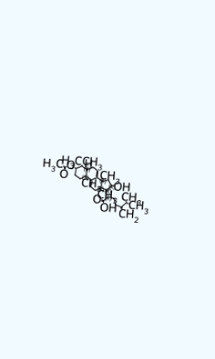 C=C(CC[C@@H](C(=O)O)[C@H]1[C@H](O)C[C@@]2(C)C3=CC[C@H]4C(C)(C)C(OC(C)=O)CC[C@]4(C)C3=CC[C@]12C)C(C)C